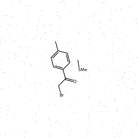 CSC.Cc1ccc(C(=O)CBr)cc1